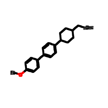 CCCCCCCCCCCC1CCC(c2ccc(-c3ccc(OCC)cc3)cc2)CC1